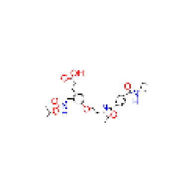 Cc1oc(-c2ccc(C(=O)NC3CCC3)cc2)nc1CCOc1ccc(CCC(=O)O)c(CNC(=O)OC(C)C)c1